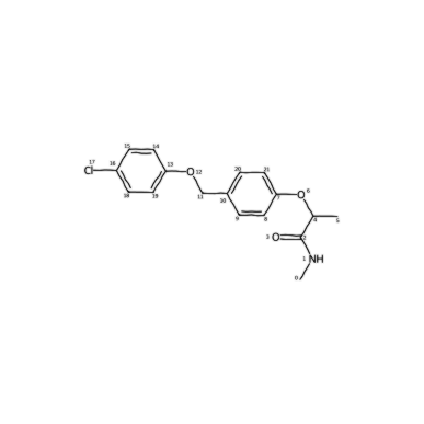 CNC(=O)C(C)Oc1ccc(COc2ccc(Cl)cc2)cc1